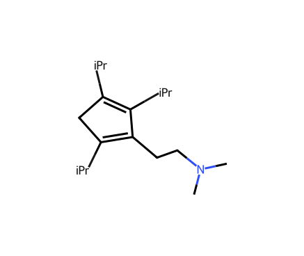 CC(C)C1=C(CCN(C)C)C(C(C)C)=C(C(C)C)C1